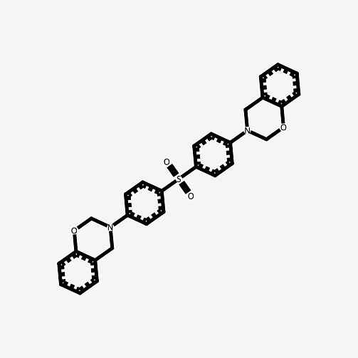 O=S(=O)(c1ccc(N2COc3ccccc3C2)cc1)c1ccc(N2COc3ccccc3C2)cc1